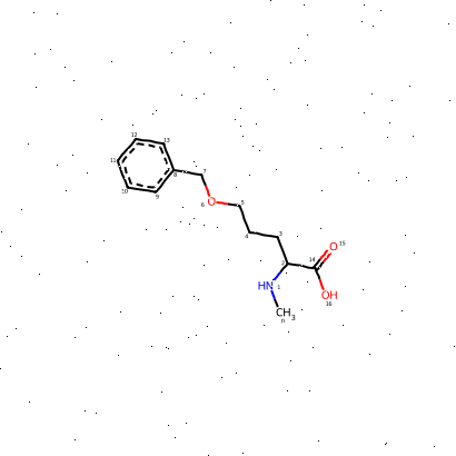 CNC(CCCOCc1ccccc1)C(=O)O